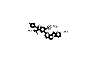 CNC(=O)c1c(-c2ccc(F)cc2)oc2cc(NOOC)c(-c3ccc4ccn5c6ccc(OC)nc6cc5c4n3)cc12